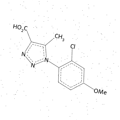 COc1ccc(-n2nnc(C(=O)O)c2C)c(Cl)c1